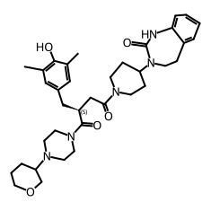 Cc1cc(C[C@@H](CC(=O)N2CCC(N3CCc4ccccc4NC3=O)CC2)C(=O)N2CCN(C3CCCOC3)CC2)cc(C)c1O